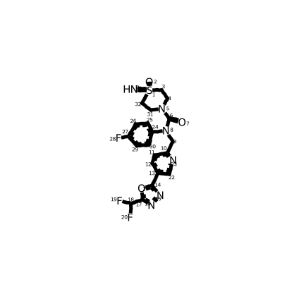 N=S1(=O)CCN(C(=O)N(Cc2ccc(-c3nnc(C(F)F)o3)cn2)c2ccc(F)cc2)CC1